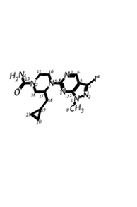 Cn1nc(I)c2cnc(N3CCN(C(N)=O)CC3CC3CC3)nc21